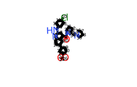 O=C(c1cc(Nc2ccc(Cl)cc2)nc2ccc(-c3ccc4c(c3)OCO4)cc12)N1CCC[C@H]1CN1CCCC1